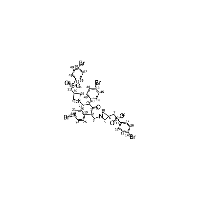 O=C(C(CN1CC(CS(=O)(=O)c2ccc(Br)cc2)C1)c1ccc(Br)cc1)C(CN1CC(CS(=O)(=O)c2ccc(Br)cc2)C1)c1ccc(Br)cc1